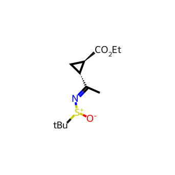 CCOC(=O)[C@@H]1C[C@H]1/C(C)=N/[S+]([O-])C(C)(C)C